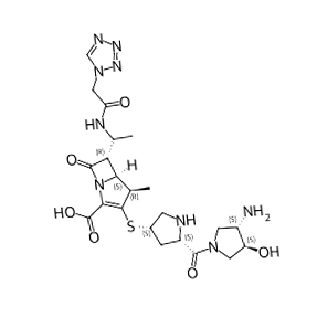 CC(NC(=O)Cn1cnnn1)[C@H]1C(=O)N2C(C(=O)O)=C(S[C@@H]3CN[C@H](C(=O)N4C[C@H](N)[C@@H](O)C4)C3)[C@H](C)[C@H]12